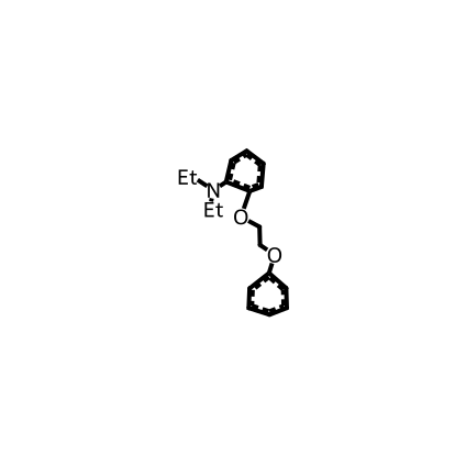 CCN(CC)c1ccccc1OCCOc1ccccc1